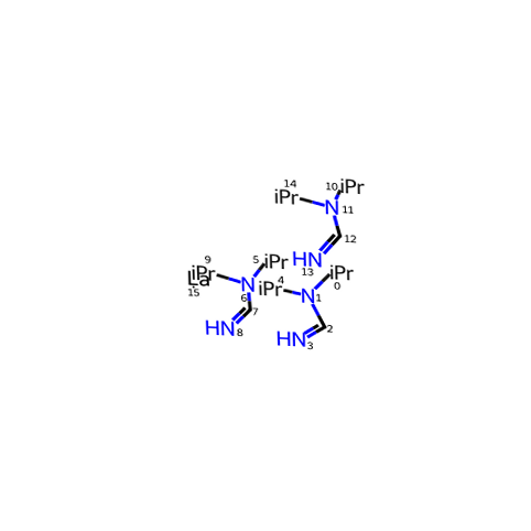 CC(C)N(C=N)C(C)C.CC(C)N(C=N)C(C)C.CC(C)N(C=N)C(C)C.[La]